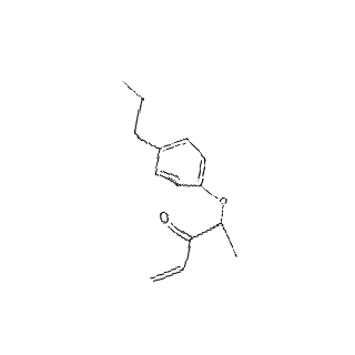 C=CC(=O)C(C)Oc1ccc(CCC)cc1